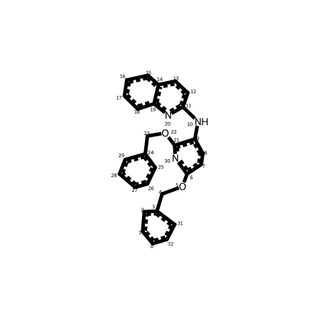 c1ccc(COc2ccc(Nc3ccc4ccccc4n3)c(OCc3ccccc3)n2)cc1